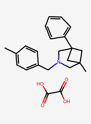 Cc1ccc(CN2CC3(C)CC(c4ccccc4)(C2)C3)cc1.O=C(O)C(=O)O